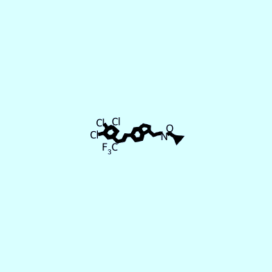 O=C(/N=C/CC1CCc2cc(/C=C/C(c3cc(Cl)c(Cl)c(Cl)c3)C(F)(F)F)ccc21)C1CC1